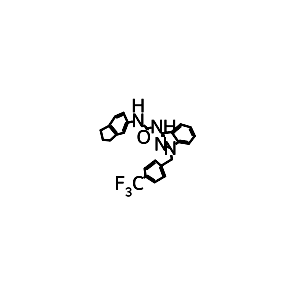 O=C(Nc1ccc2c(c1)CCC2)Nc1nn(Cc2ccc(C(F)(F)F)cc2)c2ccccc12